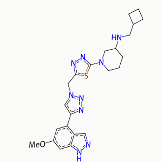 COc1cc(-c2cn(Cc3nnc(N4CCCC(NCC5CCC5)C4)s3)nn2)c2cn[nH]c2c1